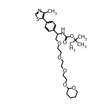 Cc1ncsc1-c1ccc(C(COCCOCCOCCOC2CCCCO2)NC(=O)OC(C)(C)C)cc1